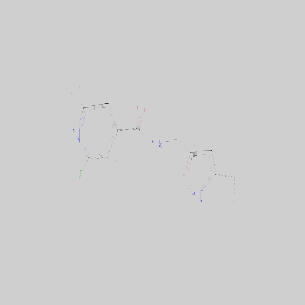 O=C(NCc1cc(CCl)no1)c1cc(Cl)nc(Cl)c1